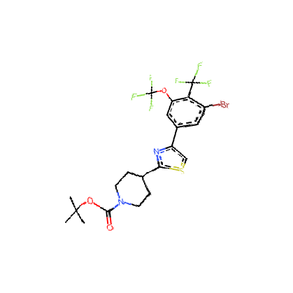 CC(C)(C)OC(=O)N1CCC(c2nc(-c3cc(Br)c(C(F)(F)F)c(OC(F)(F)F)c3)cs2)CC1